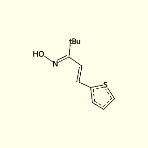 CC(C)(C)C(/C=C/c1cccs1)=NO